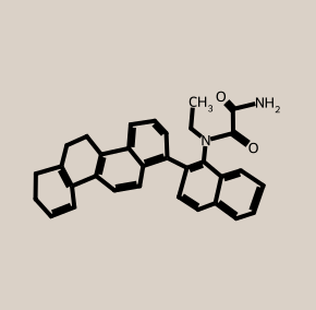 CCN(C(=O)C(N)=O)c1c(-c2cccc3c4c(ccc23)C2=C(CCC=C2)CC4)ccc2ccccc12